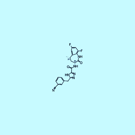 C[C@H]1C[C@@H](NC(=O)c2nnc(Cc3cccc(C#N)c3)[nH]2)C(=O)Nc2c(F)cc(F)cc21